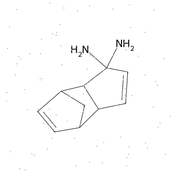 NC1(N)C=CC2C3C=CC(C3)C21